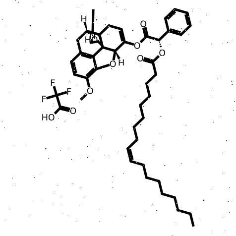 CCCCCCCC/C=C\CCCCCCCC(=O)O[C@H](C(=O)OC1=CC[C@@]2(O)[C@H]3Cc4ccc(OC)c5c4[C@@]2(CCN3C)[C@H]1O5)c1ccccc1.O=C(O)C(F)(F)F